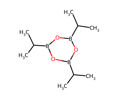 CC(C)B1OB(C(C)C)OB(C(C)C)O1